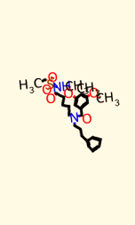 CCS(=O)(=O)NC(=O)CCCCN(CCCc1ccccc1)C(=O)c1cc(OC)c(C)c(OC)c1